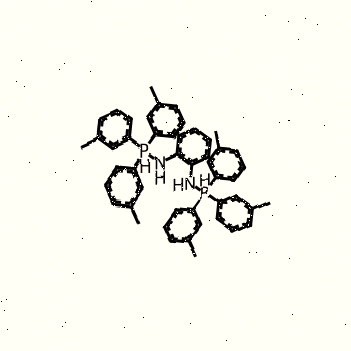 Cc1cccc([PH](Nc2ccccc2N[PH](c2cccc(C)c2)(c2cccc(C)c2)c2cccc(C)c2)(c2cccc(C)c2)c2cccc(C)c2)c1